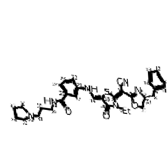 CCn1c(=C(C#N)C2=N[C@@H](Cc3ccccc3)CO2)sc(=CNc2cccc(C(=O)NCCCN3CCCC3)c2)c1=O